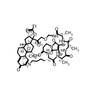 CCC(=O)OC1(C(=O)COCNC(=O)[C@H](C)NC(=O)[C@H](C)NC(=O)[C@H](C)NC(=O)[C@H](CCCCN)NC(=O)CCN2C(=O)C(Br)=C(Br)C2=O)[C@@H](C)C[C@H]2[C@@H]3CCC4=CC(=O)C=C[C@]4(C)[C@@]3(Cl)[C@@H](O)C[C@@]21C